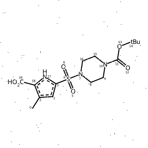 Cc1cc(S(=O)(=O)N2CCN(C(=O)OC(C)(C)C)CC2)[nH]c1C(=O)O